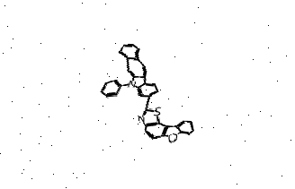 c1ccc(-n2c3cc(-c4nc5ccc6oc7ccccc7c6c5s4)ccc3c3cc4ccccc4cc32)cc1